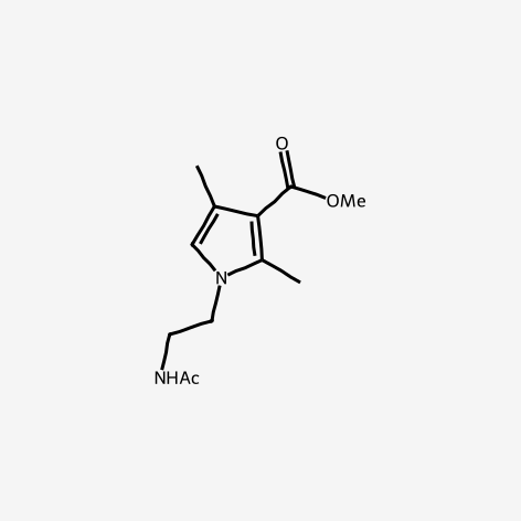 COC(=O)c1c(C)cn(CCNC(C)=O)c1C